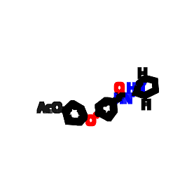 CC(=O)Oc1ccc(Oc2ccc(C(=O)N[C@@H]3C[C@H]4CC[C@@H]3N4)cc2)cc1